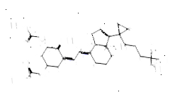 C=C1/C(=C\C=C2/CCC[C@]3(C)C(C4(CCCC(C)(C)O)CC4)=CCC23)CC(OC(C)=O)C[C@@H]1OC(C)=O